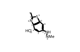 CNNc1ccc2nc(C)sc2c1.Cl